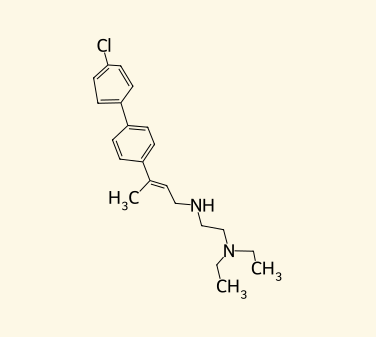 CCN(CC)CCNCC=C(C)c1ccc(-c2ccc(Cl)cc2)cc1